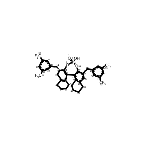 O=P1(O)OC2=C(C3=C(CCCC3)C[C@H]2Cc2cc(C(F)(F)F)cc(C(F)(F)F)c2)c2c3c(cc(Cc4cc(C(F)(F)F)cc(C(F)(F)F)c4)c2O1)CCCC3